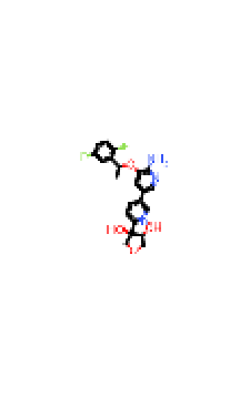 CC(Oc1cc(-c2ccc(C3(O)COCC3O)nc2)cnc1N)c1cc(F)ccc1F